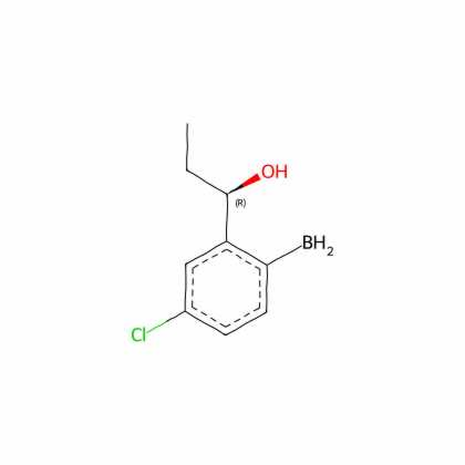 Bc1ccc(Cl)cc1[C@H](O)CC